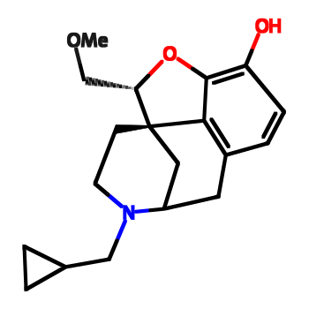 COC[C@@H]1Oc2c(O)ccc3c2[C@@]12CCN(CC1CC1)C(C3)C2